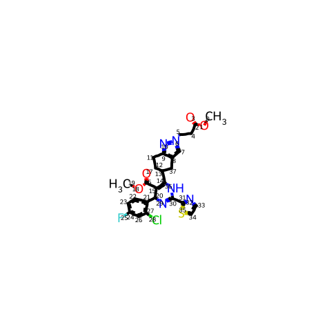 COC(=O)CCn1cc2c(n1)CCC(C1=C(C(=O)OC)C(c3ccc(F)cc3Cl)N=C(c3nccs3)N1)C2